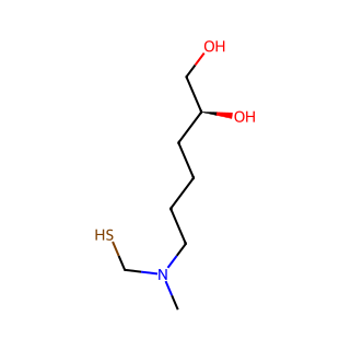 CN(CS)CCCC[C@H](O)CO